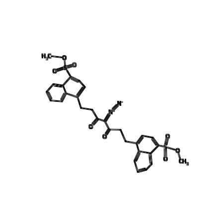 COS(=O)(=O)c1ccc(CCC(=O)C(=[N+]=[N-])C(=O)CCc2ccc(S(=O)(=O)OC)c3ccccc23)c2ccccc12